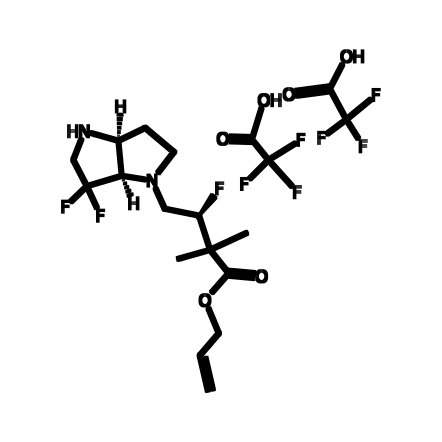 C=CCOC(=O)C(C)(C)[C@H](F)CN1CC[C@@H]2NCC(F)(F)[C@@H]21.O=C(O)C(F)(F)F.O=C(O)C(F)(F)F